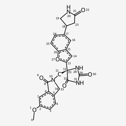 COc1ccc2c(c1)C(=O)N(C[C@@]1(c3cc4cc(C5CNC(=O)C5)ccc4o3)NC(=O)NC1=O)C2